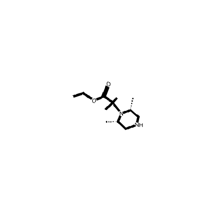 CCOC(=O)C(C)(C)N1[C@H](C)CNC[C@@H]1C